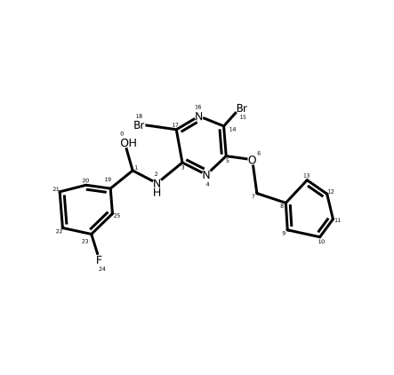 OC(Nc1nc(OCc2ccccc2)c(Br)nc1Br)c1cccc(F)c1